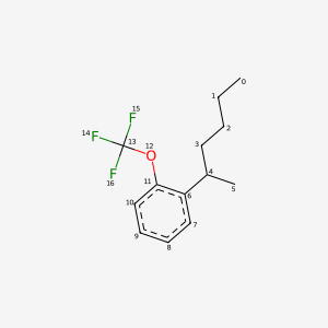 CCCCC(C)c1ccccc1OC(F)(F)F